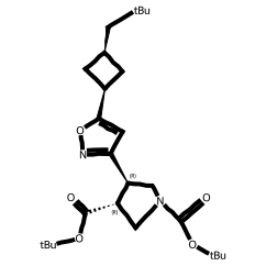 CC(C)(C)C[C@H]1C[C@@H](c2cc([C@H]3CN(C(=O)OC(C)(C)C)C[C@@H]3C(=O)OC(C)(C)C)no2)C1